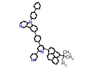 CC(C)(C)c1cc2ccc(-c3cc(-c4ccc(-c5ccc6c(c5)c5cnccc5n6-c5ccc(-c6ccccc6)cc5)cc4)cc(-c4ccncc4)n3)c3ccc4cccc1c4c23